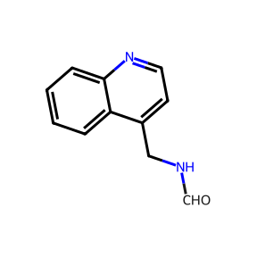 O=CNCc1ccnc2ccccc12